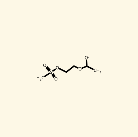 CC([O])OCCOS(C)(=O)=O